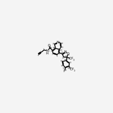 C#CCNC(=O)c1ccc(C2=NOC(c3ccc(F)c(C(F)(F)F)c3)(C(F)(F)F)C2)c2ccncc12